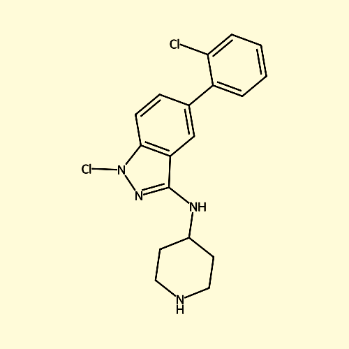 Clc1ccccc1-c1ccc2c(c1)c(NC1CCNCC1)nn2Cl